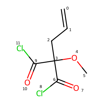 C=CCC(OC)(C(=O)Cl)C(=O)Cl